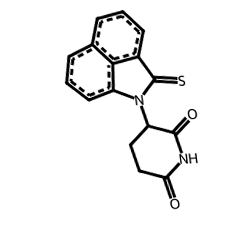 O=C1CCC(N2C(=S)c3cccc4cccc2c34)C(=O)N1